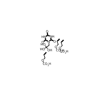 C=CCOC(=O)O.C=CCOC(=O)O.C=CCOC(=O)O.O=c1[nH]c(=O)n(CC(O)(O)O)c(=O)[nH]1